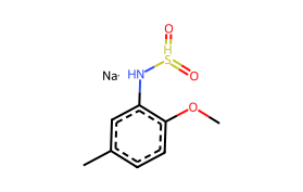 COc1ccc(C)cc1N[SH](=O)=O.[Na]